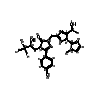 C[C@H](O)c1nc(Cn2nc(-c3ccc(Cl)cc3)n(C[C@H](O)C(F)(F)F)c2=O)nn1-c1nccn1C